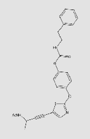 CC(=O)NC(C)C#Cc1cnc(Oc2ccc(OC(=O)NCCc3ccccc3)cc2)s1